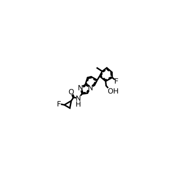 Cc1ccc(F)c(CO)c1-c1ccc2nc(NC(=O)C3CC3F)cn2c1